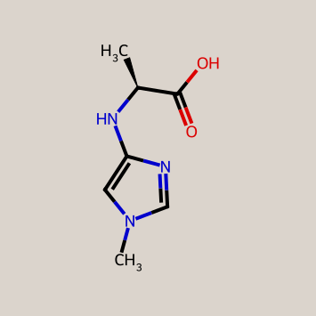 C[C@H](Nc1cn(C)cn1)C(=O)O